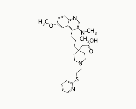 COc1ccc2ncc(N(C)C)c(CCCC3(CC(=O)O)CCN(CCSc4ccccn4)CC3)c2c1